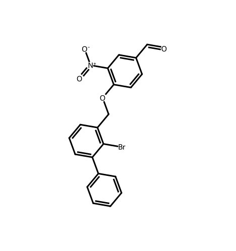 O=Cc1ccc(OCc2cccc(-c3ccccc3)c2Br)c([N+](=O)[O-])c1